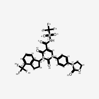 O=C(NS(=O)(=O)C(F)(F)F)c1cn(-c2ccc(N3CCOC3=O)cc2)c(=O)n(C2CCc3c2cccc3C(F)(F)F)c1=O